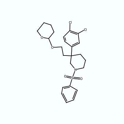 O=S(=O)(c1ccccc1)N1CCCC(CCOC2CCCCO2)(c2ccc(Cl)c(Cl)c2)C1